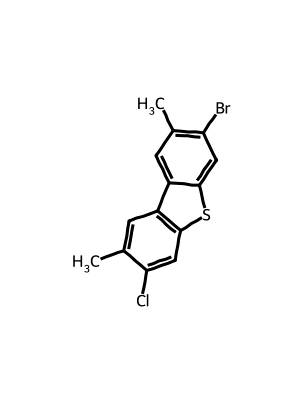 Cc1cc2c(cc1Cl)sc1cc(Br)c(C)cc12